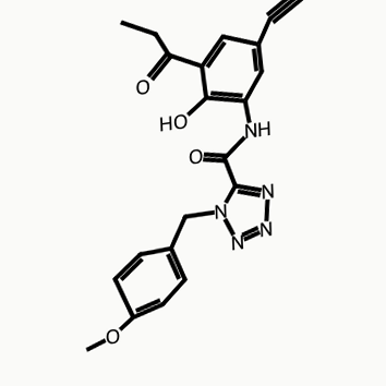 CCC(=O)c1cc(C#N)cc(NC(=O)c2nnnn2Cc2ccc(OC)cc2)c1O